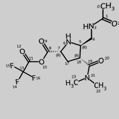 CC(=O)NC[C@@H]1N[C@@H](C(=O)OC(=O)C(F)(F)F)C[C@H]1C(=O)N(C)C